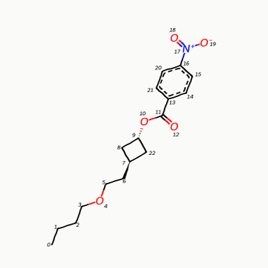 CCCCOCC[C@H]1C[C@H](OC(=O)c2ccc([N+](=O)[O-])cc2)C1